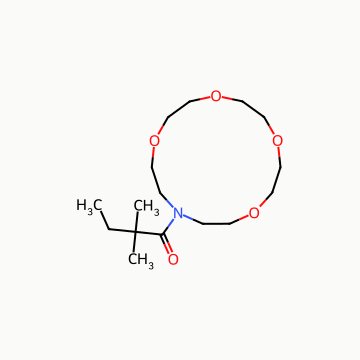 CCC(C)(C)C(=O)N1CCOCCOCCOCCOCC1